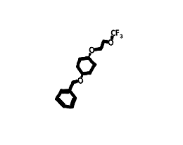 FC(F)(F)OCCO[C@H]1CC[C@@H](OCc2ccccc2)CC1